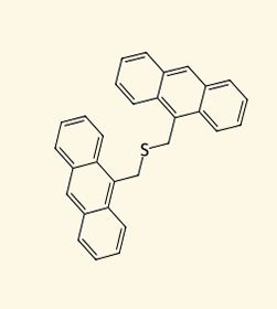 c1ccc2c(CSCc3c4ccccc4cc4ccccc34)c3ccccc3cc2c1